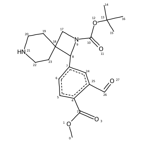 COC(=O)c1ccc(C2N(C(=O)OC(C)(C)C)CC23CCNCC3)cc1C=O